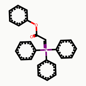 O=C(C=P(c1ccccc1)(c1ccccc1)c1ccccc1)Oc1ccccc1